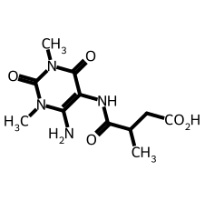 CC(CC(=O)O)C(=O)Nc1c(N)n(C)c(=O)n(C)c1=O